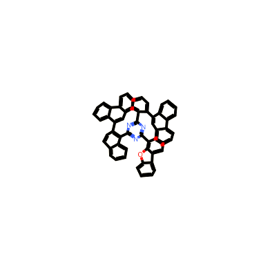 c1ccc(-c2cc3ccccc3c3ccccc23)c(-c2nc(-c3c(-c4cc5ccccc5c5ccccc45)ccc4ccccc34)nc(-c3cccc4c3oc3ccccc34)n2)c1